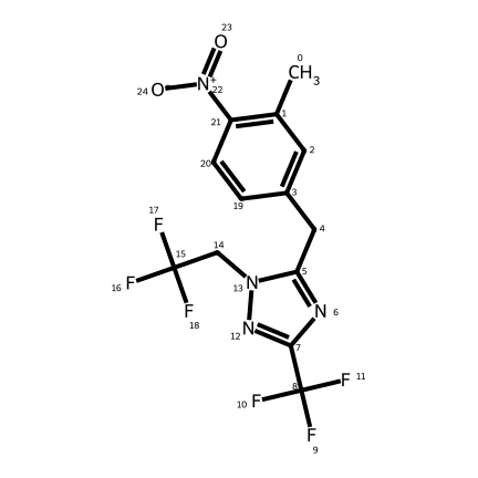 Cc1cc(Cc2nc(C(F)(F)F)nn2CC(F)(F)F)ccc1[N+](=O)[O-]